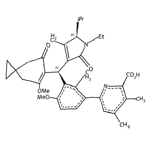 CCN1C(=O)C([C@H](C2=C(OC)CC3(CC3)CC2=O)c2c(OC)ccc(-c3cc(C)c(C)c(C(=O)O)n3)c2C)=C(C)[C@H]1C(C)C